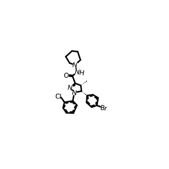 C[C@H]1C(C(=O)NN2CCCCC2)=NN(c2ccccc2Cl)[C@H]1c1ccc(Br)cc1